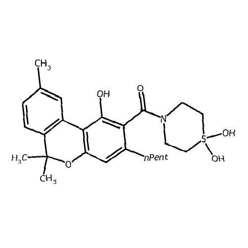 CCCCCc1cc2c(c(O)c1C(=O)N1CCS(O)(O)CC1)-c1cc(C)ccc1C(C)(C)O2